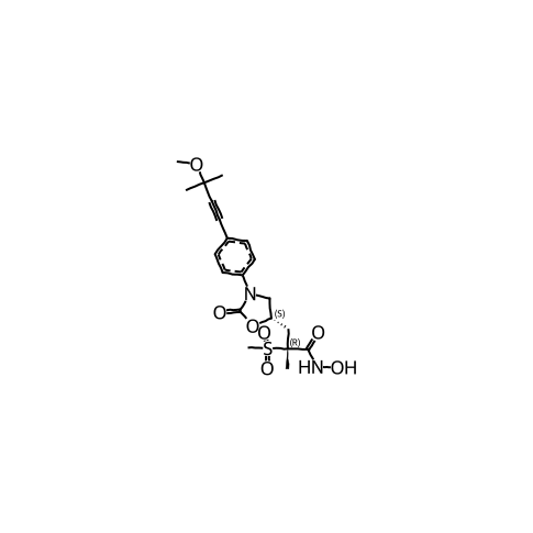 COC(C)(C)C#Cc1ccc(N2C[C@H](C[C@](C)(C(=O)NO)S(C)(=O)=O)OC2=O)cc1